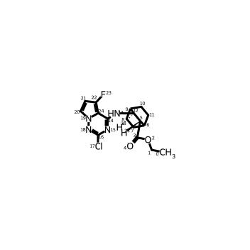 CCOC(=O)[C@H]1C2CCC(CC2)[C@@H]1Nc1nc(Cl)nn2ccc(F)c12